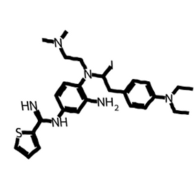 CCN(CC)c1ccc(CC(I)N(CCN(C)C)c2ccc(NC(=N)c3cccs3)cc2N)cc1